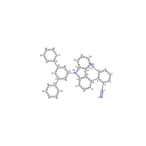 N#Cc1cccc(C#N)c1-c1cccc2c1c1ccccc1n2-c1cc(-c2ccccc2)cc(-c2ccccc2)c1